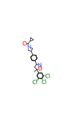 CC1(c2cc(Cl)c(Cl)c(Cl)c2)CC(c2ccc(C3CN(C(=O)C4CC4)C3)cc2)=NO1